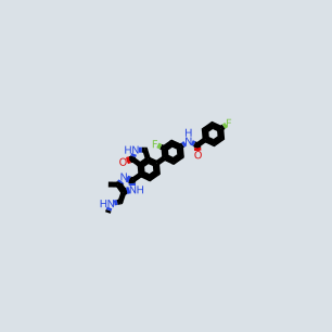 CNCc1[nH]c(-c2ccc(-c3ccc(NC(=O)c4ccc(F)cc4)cc3F)c3c2C(=O)NC3)nc1C